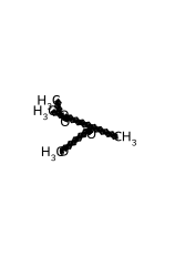 CCCCCCCCCC(CCCCCCCC(=O)OCC(CC)CCCC)C(=O)CCCCCCCCCOC